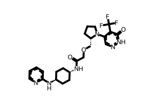 O=C(COC[C@@H]1CCCN1c1cn[nH]c(=O)c1C(F)(F)F)N[C@H]1CC[C@H](Nc2ccccn2)CC1